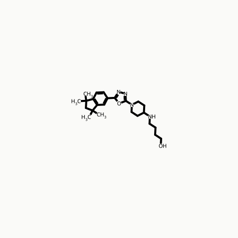 CC1(C)CC(C)(C)c2cc(-c3nnc(N4CCC(NCCCCO)CC4)o3)ccc21